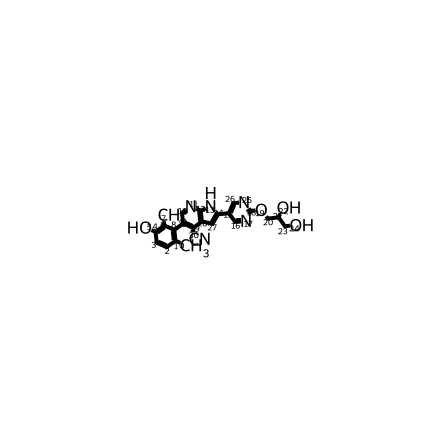 Cc1ccc(O)c(C)c1-c1cnc2[nH]c(-c3cnc(OCC(O)CO)nc3)cc2c1C#N